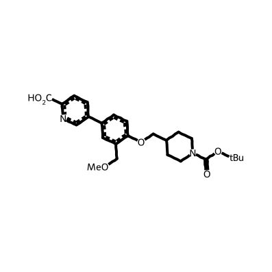 COCc1cc(-c2ccc(C(=O)O)nc2)ccc1OCC1CCN(C(=O)OC(C)(C)C)CC1